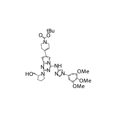 COc1cc(-n2cnc(Nc3nc(N4CCC[C@H]4CO)nc4cc(C5=CCN(C(=O)OC(C)(C)C)CC5)cn34)c2)cc(OC)c1OC